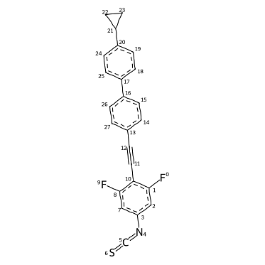 Fc1cc(N=C=S)cc(F)c1C#Cc1ccc(-c2ccc(C3CC3)cc2)cc1